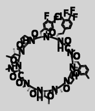 CC[C@H](C)[C@@H]1NC(=O)[C@H](C)N(C)C(=O)C[C@@H](C(=O)N(C)C)N(C)C(=O)[C@H]([C@@H](C)CC)N(C)C(=O)C2(CCCC2)NC(=O)[C@H](Cc2ccc(F)c(F)c2)N(C)C(=O)[C@H](CCc2ccc(C(F)(F)F)c(Cl)c2)NC(=O)CN(C)C(=O)[C@H](Cc2ccc(C)cc2)N(C)C(=O)[C@@H]2CCN2C(=O)[C@H](C)N(C)C1=O